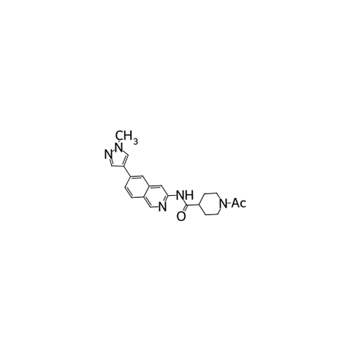 CC(=O)N1CCC(C(=O)Nc2cc3cc(-c4cnn(C)c4)ccc3cn2)CC1